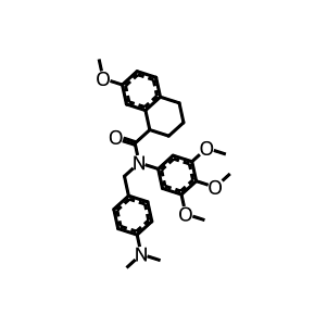 COc1ccc2c(c1)C(C(=O)N(Cc1ccc(N(C)C)cc1)c1cc(OC)c(OC)c(OC)c1)CCC2